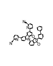 N#Cc1cccc(-c2ccc3c(c2)c2cc(-c4cccc(C#N)n4)ccc2n3-c2cccc3c2C(=O)N(c2cccc(-c4ccccc4)c2)C3=O)n1